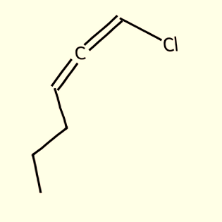 CCCC=C=CCl